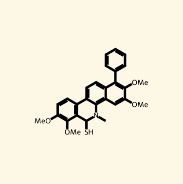 COc1ccc2c(c1OC)C(S)N(C)c1c-2ccc2c(-c3ccccc3)c(OC)c(OC)cc12